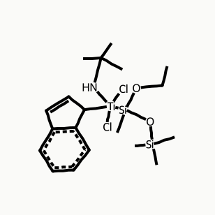 CCO[Si](C)(O[Si](C)(C)C)[Ti]([Cl])([Cl])([NH]C(C)(C)C)[CH]1C=Cc2ccccc21